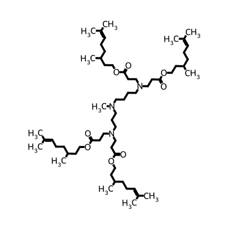 CC(C)=CCCC(C)CCOC(=O)CCN(CCCCN(C)CCCN(CCC(=O)OCCC(C)CCC=C(C)C)CCC(=O)OCCC(C)CCC=C(C)C)CCC(=O)OCCC(C)CCC=C(C)C